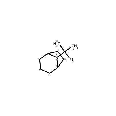 CCC(C)(C)N1C2CCCC1CC2